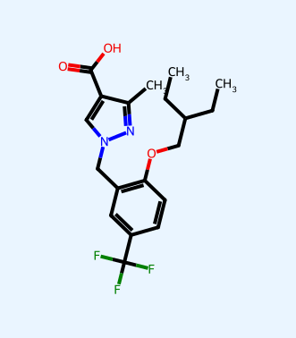 CCC(CC)COc1ccc(C(F)(F)F)cc1Cn1cc(C(=O)O)c(C)n1